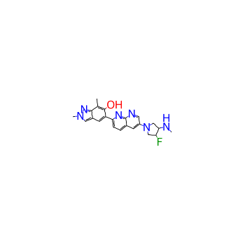 CNC1CN(c2cnc3nc(-c4cc5cn(C)nc5c(C)c4O)ccc3c2)CC1F